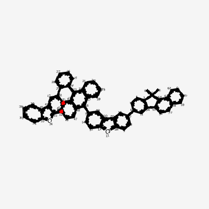 CC1(C)c2ccc(-c3ccc4oc5ccc(-c6c7ccccc7c(-c7ccccc7-c7ccc8oc9ccccc9c8c7)c7ccccc67)cc5c4c3)cc2-c2ccc3ccccc3c21